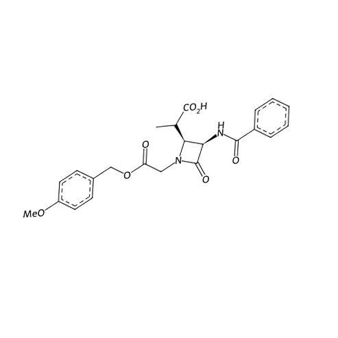 COc1ccc(COC(=O)CN2C(=O)[C@H](NC(=O)c3ccccc3)[C@@H]2C(C)C(=O)O)cc1